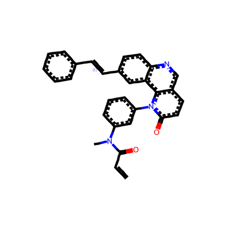 C=CC(=O)N(C)c1cccc(-n2c(=O)ccc3cnc4ccc(/C=C/c5ccccc5)cc4c32)c1